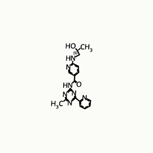 Cc1nc(NC(=O)c2ccc(NC[C@H](C)O)nc2)nc(-c2ccccn2)n1